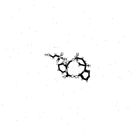 O=C1COc2ccccc2[C@H]2CC[C@H](CC2)OC[C@H]2[C@@H](NS(=O)(=O)CCO)CCCN12